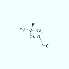 C[Si](C)(C)Br.ClCCl